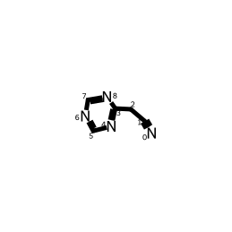 N#CCc1ncncn1